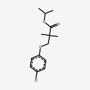 CC(C)OC(=O)C(C)(C)COc1ccc(Cl)cc1